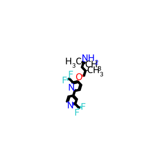 C[C@H](COc1ccc(-c2ccnc(C(F)F)c2)nc1C(F)F)CC(C)(C)N